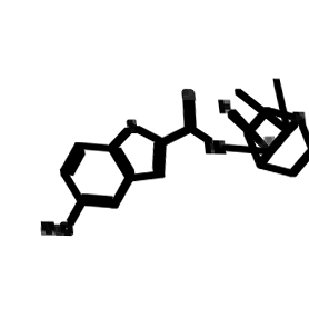 COc1ccc2sc(C(=O)N[C@H]3C4CCN(CC4)C3(C)C)cc2c1